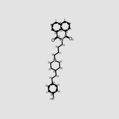 O=C1c2cccc3cccc(c23)C(=O)N1CCCCN1CCC(CCc2ccc(F)cc2)CC1